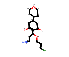 N=CCC(OCC=CCl)C1=C(O)CC(C2CCOCC2)CC1=O